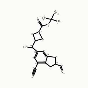 CC(C)(C)OC(=O)N1CC(C(O)c2cc(C#N)c3c(c2)CC(C=O)C3)C1